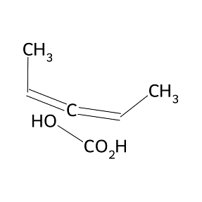 CC=C=CC.O=C(O)O